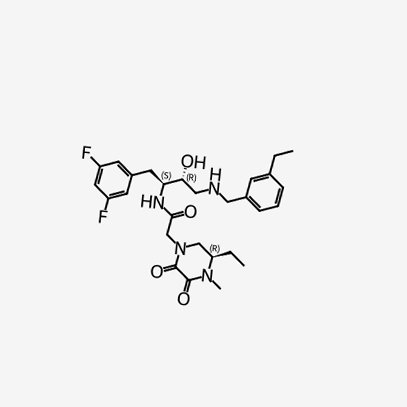 CCc1cccc(CNC[C@@H](O)[C@H](Cc2cc(F)cc(F)c2)NC(=O)CN2C[C@@H](CC)N(C)C(=O)C2=O)c1